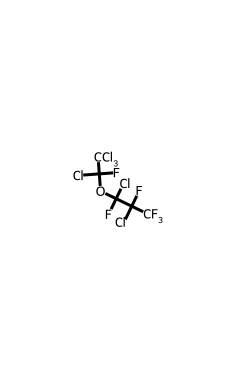 FC(F)(F)C(F)(Cl)C(F)(Cl)OC(F)(Cl)C(Cl)(Cl)Cl